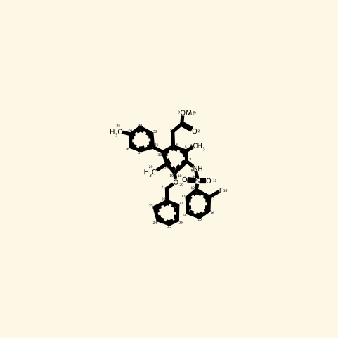 COC(=O)Cc1c(C)c(NS(=O)(=O)c2ccccc2F)c(OCc2ccccc2)c(C)c1-c1ccc(C)cc1